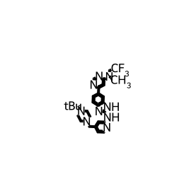 CN(CC(F)(F)F)c1cc(-c2ccc3nc(Nc4cc(CN5CCN(C(C)(C)C)CC5)ccn4)[nH]c3c2)ncn1